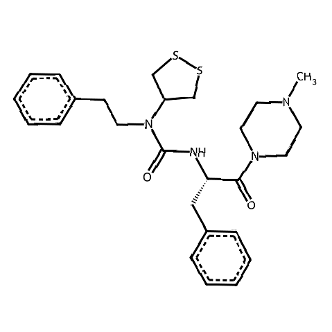 CN1CCN(C(=O)[C@H](Cc2ccccc2)NC(=O)N(CCc2ccccc2)C2CSSC2)CC1